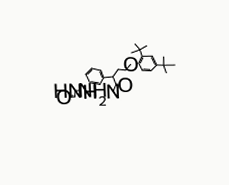 CC(C)(C)c1ccc(OCCC(C(N)=O)c2cccc(NNC=O)c2)c(C(C)(C)C)c1